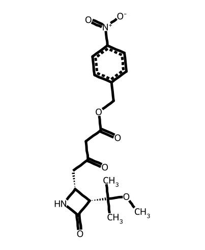 COC(C)(C)[C@@H]1C(=O)N[C@@H]1CC(=O)CC(=O)OCc1ccc([N+](=O)[O-])cc1